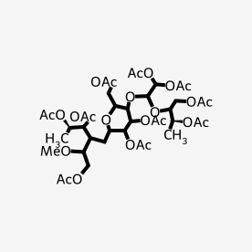 COC(COC(C)=O)C(CC1OC(COC(C)=O)C(OC(OC(COC(C)=O)[C@H](C)OC(C)=O)C(OC(C)=O)OC(C)=O)C(OC(C)=O)C1OC(C)=O)C(OC(C)=O)[C@@H](C)OC(C)=O